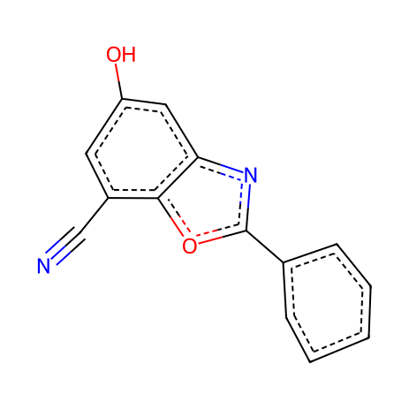 N#Cc1cc(O)cc2nc(-c3ccccc3)oc12